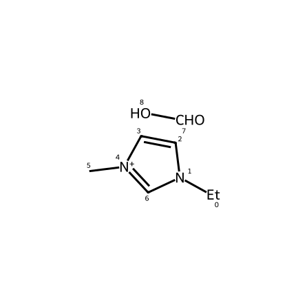 CCn1cc[n+](C)c1.O=CO